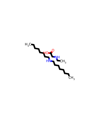 CCCCCCCCNCCCCCCCC.CCNCC(=O)O